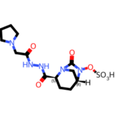 O=C(CN1CCCC1)NNC(=O)[C@@H]1CC[C@@H]2CN1C(=O)N2OS(=O)(=O)O